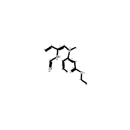 C=C/C(=C/N(C)C(/C=C\C)=C/C(=C)OCC)NC=O